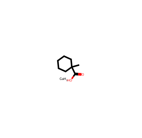 CC1(C(=O)O)CCCCC1.[GaH3]